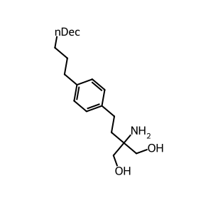 CCCCCCCCCCCCCc1ccc(CCC(N)(CO)CO)cc1